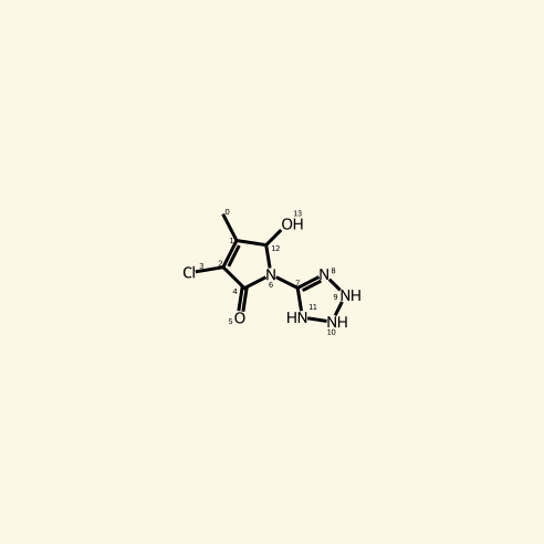 CC1=C(Cl)C(=O)N(C2=NNNN2)C1O